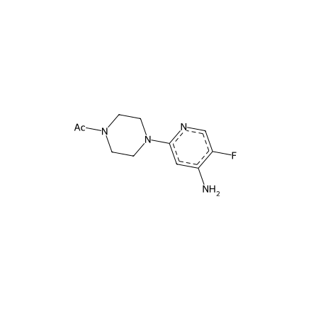 CC(=O)N1CCN(c2cc(N)c(F)cn2)CC1